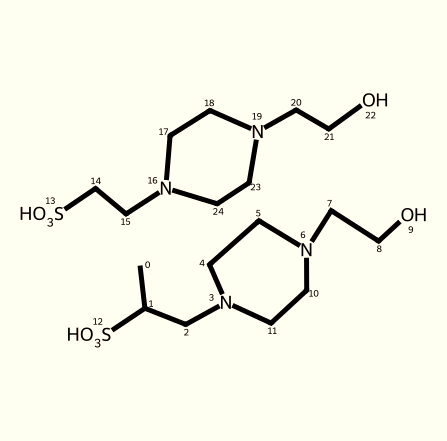 CC(CN1CCN(CCO)CC1)S(=O)(=O)O.O=S(=O)(O)CCN1CCN(CCO)CC1